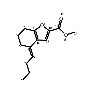 CCCC=C1CCCc2oc(C(=O)OC)cc21